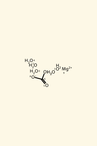 O.O.O.O.O.O=C([O-])[O-].[Mg+2]